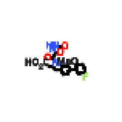 COc1ccc(F)cc1-c1ccc(CC(CC(=O)O)NC(=O)c2n[nH]c(=O)o2)cc1